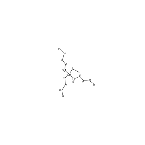 CCCCO[Si](CC)(CCCC)OCCCC